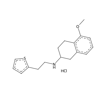 COc1cccc2c1CCC(NCCc1cccs1)C2.Cl